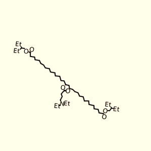 CCC(CC)COC(=O)CCCCCCCCCCCCCCC(CCCCCCCCCCCCCCC(=O)OCC(CC)CC)OC(=O)CCCN(CC)CC